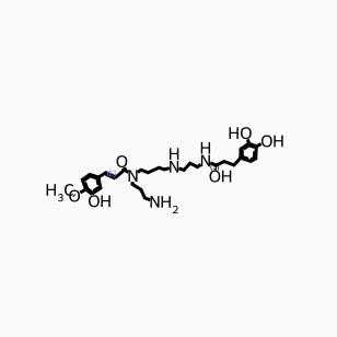 COc1ccc(/C=C/C(=O)N(CCCN)CCCCNCCCN[C@@H](O)CCc2ccc(O)c(O)c2)cc1O